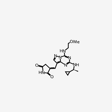 COCCNc1nc(N[C@@H](C)C2CC2)nc2c(/C=C3\CC(=O)NC3=O)cnn12